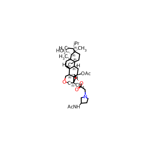 CC(=O)NC1CCN(CC(=O)O[C@H]2[C@H](OC(C)=O)C[C@@]34COC[C@]2(C)[C@@H]3CC[C@H]2C4=CC[C@@]3(C)[C@H](C(=O)O)[C@@](C)([C@H](C)C(C)C)CC[C@]23C)C1